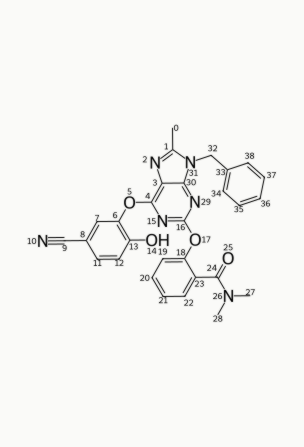 Cc1nc2c(Oc3cc(C#N)ccc3O)nc(Oc3ccccc3C(=O)N(C)C)nc2n1Cc1ccccc1